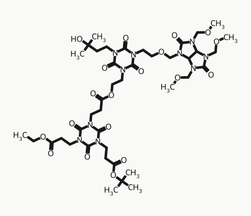 CCOC(=O)CCn1c(=O)n(CCC(=O)OCCn2c(=O)n(CCOCN3C(=O)N(COC)C4C3N(COC)C(=O)N4COC)c(=O)n(CCC(C)(C)O)c2=O)c(=O)n(CCC(=O)OC(C)(C)C)c1=O